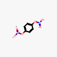 O=[N+]([O-])Oc1ccc(O[N+](=O)[O-])cc1